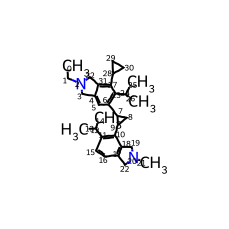 CCN1Cc2cc(C3CC3c3c(C(C)C)ccc4c3CN(C)C4)c(C(C)C)c(C3CC3)c2C1